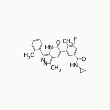 Cc1ccccc1-c1nnc(C)c2cc(-c3cc(C(=O)NC4CC4)cc(F)c3C)c(=O)[nH]c12